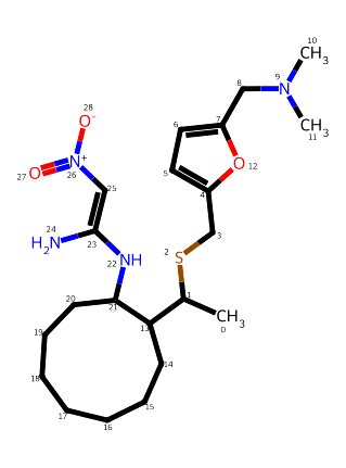 CC(SCc1ccc(CN(C)C)o1)C1CCCCCCCC1NC(N)=C[N+](=O)[O-]